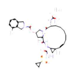 CC(C)(C)OC(=O)N[C@H]1CCCCC/C=C\[C@@H]2C[C@@]2(C(=O)NS(=O)(=O)C2CC2)NC(=O)[C@@H]2C[C@@H](OC(=O)N3Cc4cccc(Br)c4C3)CN2C1=O